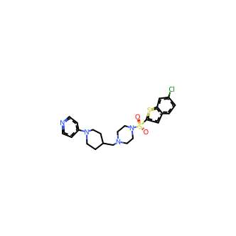 O=S(=O)(c1cc2ccc(Cl)cc2s1)N1CCN(CC2CCN(c3ccncc3)CC2)CC1